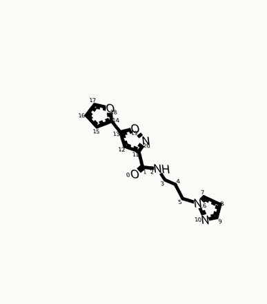 O=C(NCCCn1cccn1)c1cc(-c2ccco2)on1